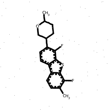 Cc1ccc2c(sc3c(F)c(C4CCC(C)OC4)ccc32)c1F